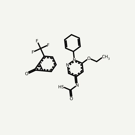 CCOc1cc(=NC(=O)S)cnn1C1C=CCC=C1.O=c1c2cccc(C(F)(F)F)c12